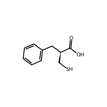 O=C(O)[C@@H](CS)Cc1ccccc1